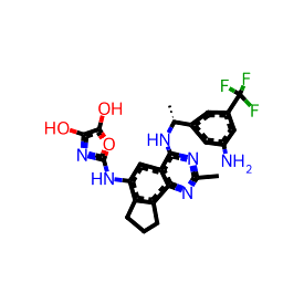 Cc1nc(N[C@H](C)c2cc(N)cc(C(F)(F)F)c2)c2cc(Nc3nc(O)c(O)o3)c3c(c2n1)CCC3